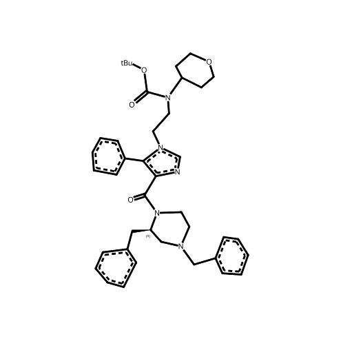 CC(C)(C)OC(=O)N(CCn1cnc(C(=O)N2CCN(Cc3ccccc3)C[C@H]2Cc2ccccc2)c1-c1ccccc1)C1CCOCC1